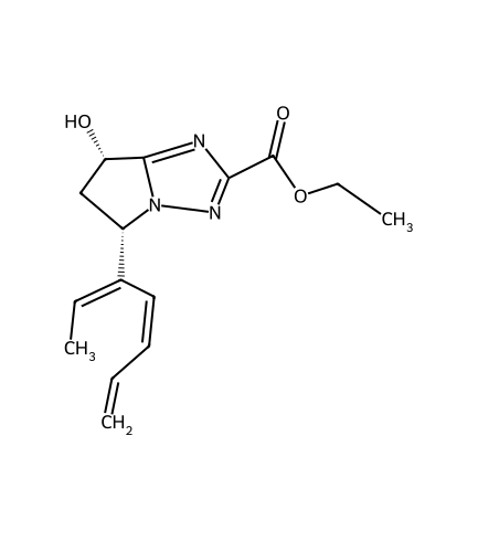 C=C/C=C\C(=C/C)[C@@H]1C[C@H](O)c2nc(C(=O)OCC)nn21